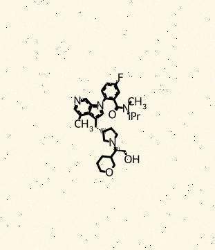 Cc1cncc2c1c(C[C@@H]1CCN([C@@H](CO)C3CCCOC3)C1)cn2-c1ccc(F)cc1C(=O)N(C)C(C)C